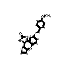 COc1ccc(COc2ccc(Sc3ccoc3C3NC(=O)NC3=O)cc2)cc1